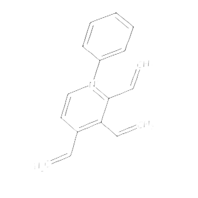 C=Cc1cc[n+](-c2ccccc2)c(C=C)c1C=C